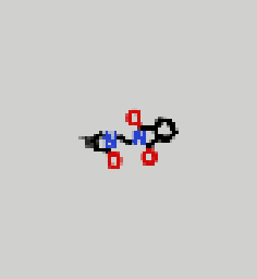 C[C@H]1CC(=O)N(CCN2C(=O)c3ccccc3C2=O)C1